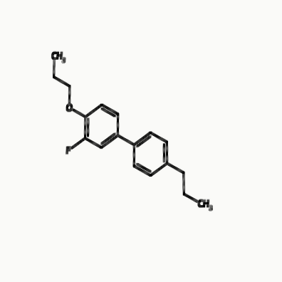 CCCOc1ccc(-c2ccc(CCC)cc2)cc1F